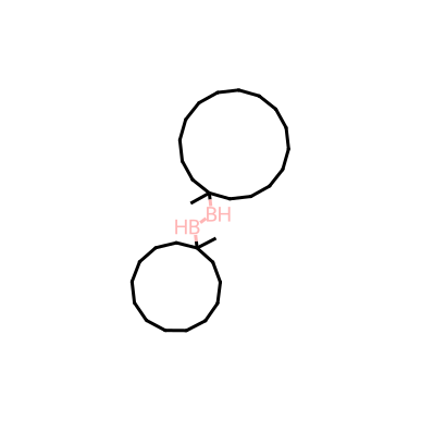 CC1(BBC2(C)CCCCCCCCCCCC2)CCCCCCCCCCCCCCC1